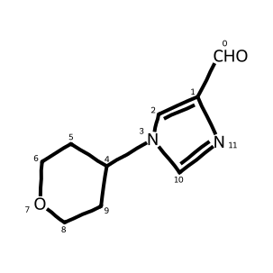 O=Cc1cn(C2CCOCC2)cn1